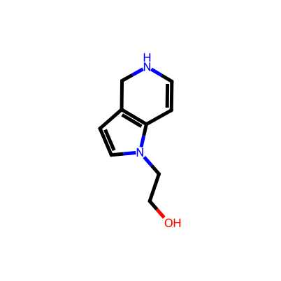 OCCn1ccc2c1C=CNC2